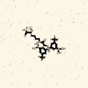 C=N[C@@H](CCCCNC(=O)CN=S(=O)(c1cc(B(O)O)cc(C(F)(F)F)c1)c1cc(B(O)O)cc(C(F)(F)F)c1)C(=O)O